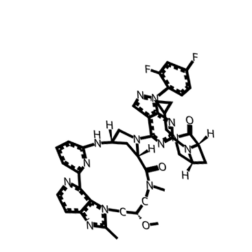 CO[C@H]1CN(C)C(=O)[C@@H]2C[C@@H](CN2c2nc(N3[C@@H]4C[C@H]3C(=O)N(CC3CC3)C4)nc3c2cnn3-c2ccc(F)cc2F)Nc2cccc(n2)-c2nccc3nc(C)n(c23)C1